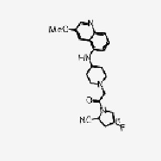 COc1cnc2cccc(NC3CCN(CC(=O)N4C[C@@H](F)CC4C#N)CC3)c2c1